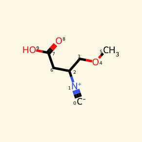 [C-]#[N+]C(COC)CC(=O)O